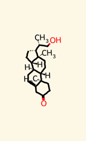 C[C@H](CO)[C@H]1CC[C@H]2[C@@H]3CC=C4CC(=O)CC[C@]4(C)[C@H]3CC[C@]12C